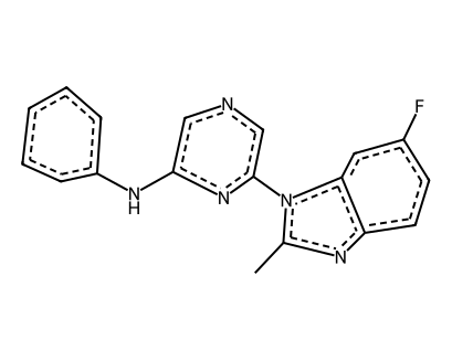 Cc1nc2ccc(F)cc2n1-c1cncc(Nc2ccccc2)n1